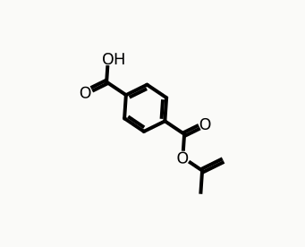 C=C(C)OC(=O)c1ccc(C(=O)O)cc1